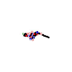 CCCCCCCCOCCC(=O)N(C)CC12CCC(N(C)C(=O)C(=O)N(C)C)(CC1)c1nc(C(=O)NCc3ccc(F)cc3)c(O)c(=O)n1C2